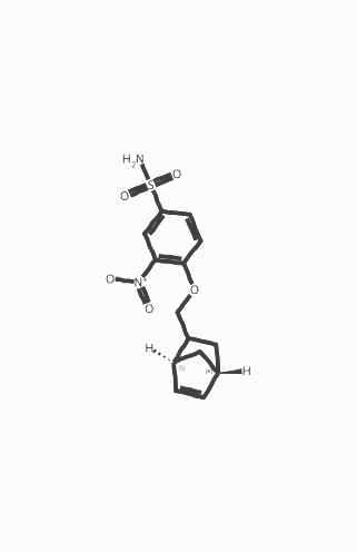 NS(=O)(=O)c1ccc(OCC2C[C@@H]3C=C[C@@H]2C3)c([N+](=O)[O-])c1